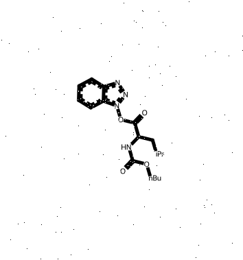 CCCCOC(=O)NC(CC(C)C)C(=O)On1nnc2ccccc21